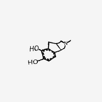 CN1CC2Cc3c(ccc(O)c3O)C2C1